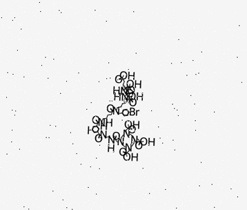 O=C(O)CC[C@H](NC(=O)N[C@@H](CCCCN(Cc1ccc(Br)cc1)C(=O)CCCCNC(=O)c1cc(I)cc(C(=O)NCCNC(=O)CN2CCN(CC(=O)O)CCN(CC(=O)O)CCN(CC(=O)O)CC2)c1)C(=O)O)C(=O)O